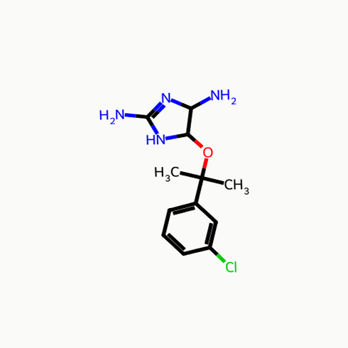 CC(C)(OC1NC(N)=NC1N)c1cccc(Cl)c1